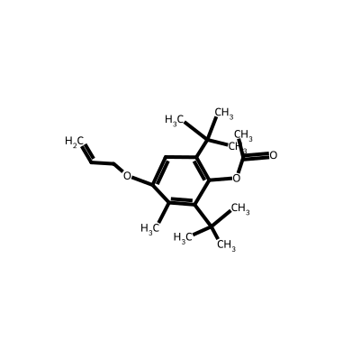 C=CCOc1cc(C(C)(C)C)c(OC(C)=O)c(C(C)(C)C)c1C